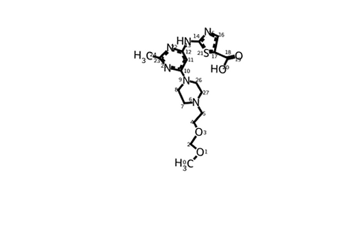 COCOCCN1CCN(c2cc(Nc3ncc(C(=O)O)s3)nc(C)n2)CC1